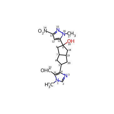 Cn1cnc(C2CC3CC(O)(c4cc([N+](=O)[O-])nn4C)CC3C2)c1C=O